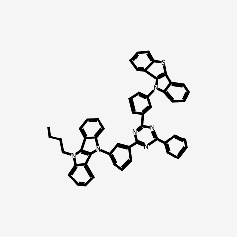 CCCCn1c2ccccc2c2c1c1ccccc1n2-c1cccc(-c2nc(-c3ccccc3)nc(-c3cccc(-n4c5ccccc5c5sc6ccccc6c54)c3)n2)c1